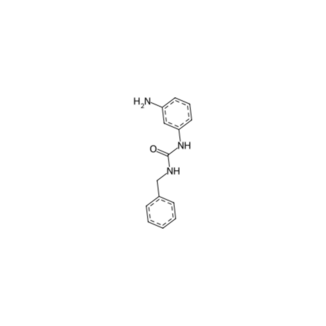 Nc1cccc(NC(=O)NCc2ccccc2)c1